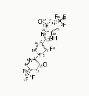 Fc1cc(-c2ncc(C(F)(F)F)cc2Cl)ccc1-c1nc2c(Cl)cc(C(F)(F)F)cc2[nH]1